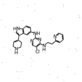 Clc1cnc(Nc2ccc3[nH]cc(C4=CCNCC4)c3c2)nc1NCCc1ccccn1